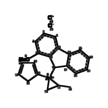 COc1cccc2c1[CH]([Zr+2]1([C]3=CC=CC3)[CH2][CH]1C)c1ccccc1-2.[Cl-].[Cl-]